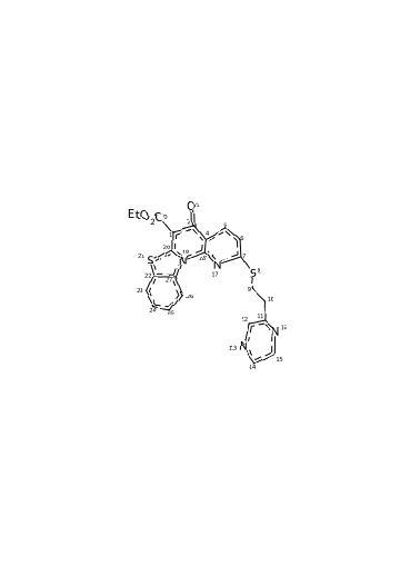 CCOC(=O)c1c(=O)c2ccc(SCCc3cnccn3)nc2n2c1sc1ccccc12